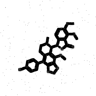 COc1ccc2c(c1OC)C(=O)O[C@@H]2[C@H]1c2c(c(-c3ccc(Cl)cc3)c3c(c2OC)OCO3)CCN1C